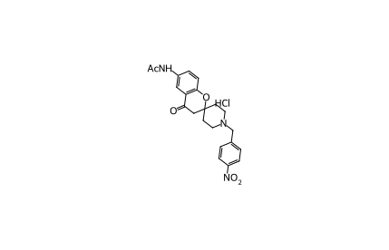 CC(=O)Nc1ccc2c(c1)C(=O)CC1(CCN(Cc3ccc([N+](=O)[O-])cc3)CC1)O2.Cl